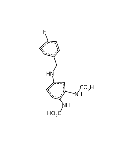 O=C(O)Nc1ccc(NCc2ccc(F)cc2)cc1NC(=O)O